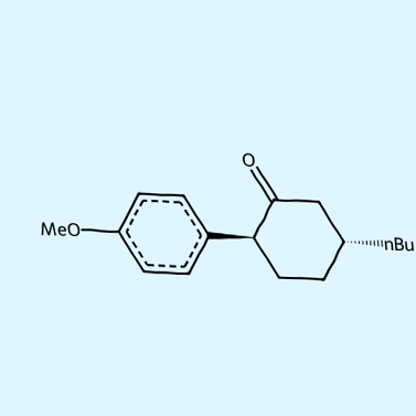 CCCC[C@@H]1CC[C@@H](c2ccc(OC)cc2)C(=O)C1